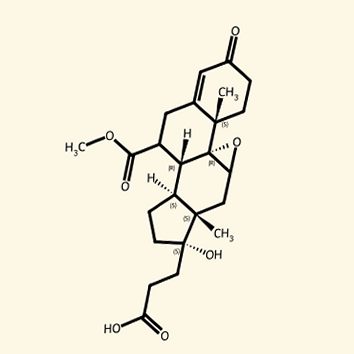 COC(=O)C1CC2=CC(=O)CC[C@]2(C)[C@@]23OC2C[C@@]2(C)[C@@H](CC[C@]2(O)CCC(=O)O)[C@H]13